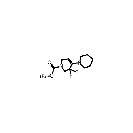 CC(C)(C)OC(=O)N1CC=C(N2CCCCC2)C(F)(F)C1